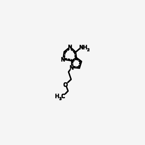 CCOCCn1ccc2c(N)ncnc21